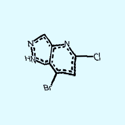 Clc1cc(Br)c2[nH]ncc2n1